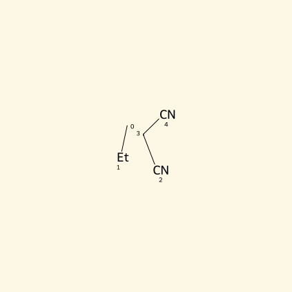 CCC.N#CCC#N